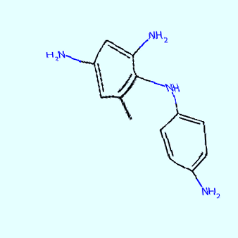 Cc1cc(N)cc(N)c1Nc1ccc(N)cc1